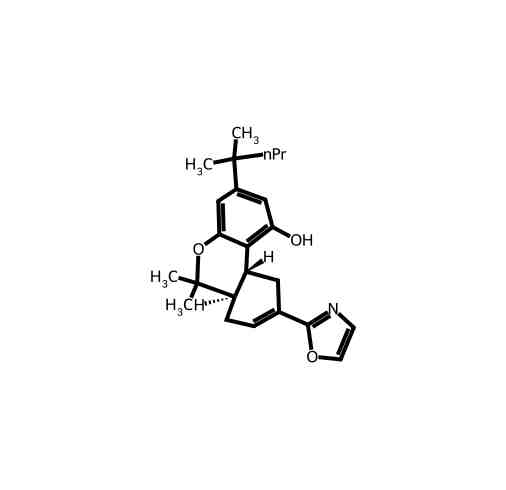 CCCC(C)(C)c1cc(O)c2c(c1)OC(C)(C)[C@@H]1CC=C(c3ncco3)C[C@@H]21